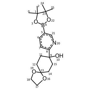 CC1(C)OB(c2ccc(C3(O)CCC4(CC3)OCCO4)nc2)OC1(C)C